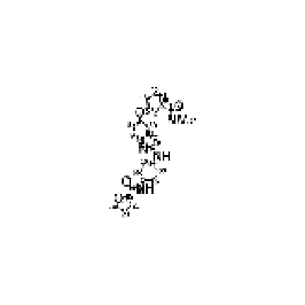 CNC(=O)c1cc(Oc2ccc3nc(N[C@H]4CC[C@H](NC(=O)[C@@H]5CCCO5)CC4)sc3c2)ccn1